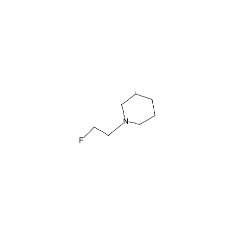 FCCN1C[CH]CCC1